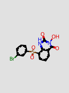 O=c1[nH]c2c(S(=O)(=O)c3cccc(Br)c3)cccc2c(=O)n1O